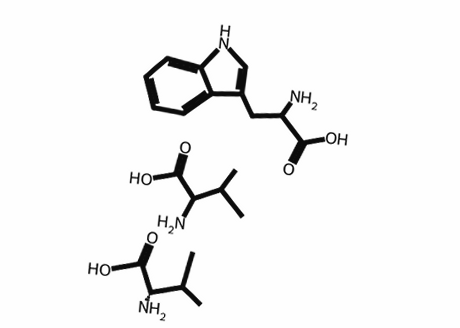 CC(C)C(N)C(=O)O.CC(C)[C@H](N)C(=O)O.NC(Cc1c[nH]c2ccccc12)C(=O)O